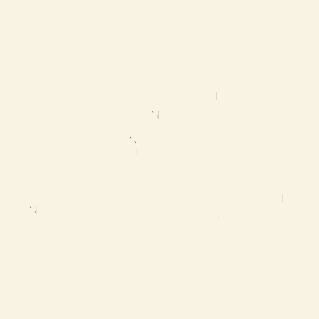 CC(CCC(C)C)=NNC(=O)c1ccncc1